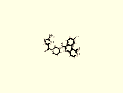 Nc1nnc(C(=O)N2CCC[C@@H](Nc3nc4cc[nH]c(=O)c4c4cc(F)ccc34)C2)[nH]1